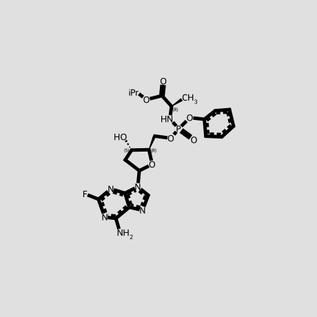 CC(C)OC(=O)[C@@H](C)NP(=O)(OC[C@H]1OC(n2cnc3c(N)nc(F)nc32)C[C@@H]1O)Oc1ccccc1